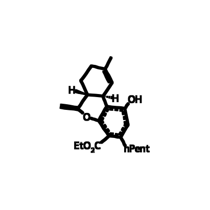 C=C1Oc2c(C(=O)OCC)c(CCCCC)cc(O)c2[C@@H]2C=C(C)CC[C@@H]12